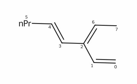 C=CC(C=CCCC)=CC